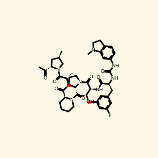 CC(=O)[C@@H]1C[C@@H](C)CN1C(=O)[C@H](C)NC(=O)[C@@H]1CCCCN1C(=O)[C@@H]1CCCN1C(=O)[C@@H](NC(=O)[C@H](Cc1cc(F)cc(F)c1)NC(=O)Nc1ccc2c(c1)N(C)CC2)[C@H](C)O